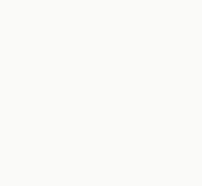 CC(C)=CC1C(C(=O)OCC=CCc2ccccc2)C1(C)C